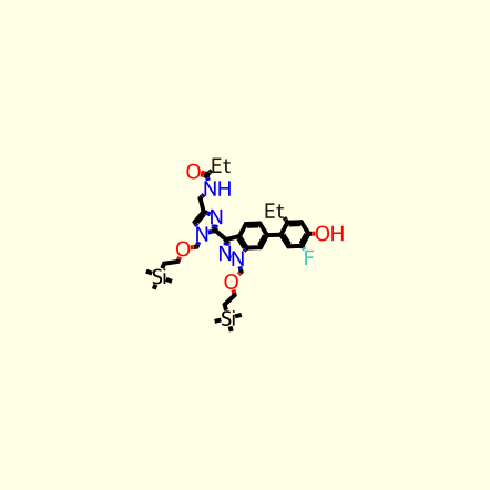 CCC(=O)NCc1cn(COCC[Si](C)(C)C)c(-c2nn(COCC[Si](C)(C)C)c3cc(-c4cc(F)c(O)cc4CC)ccc23)n1